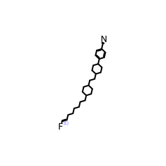 N#Cc1ccc(C2CCC(CCC3CCC(CCCCCC/C=C/F)CC3)CC2)cc1